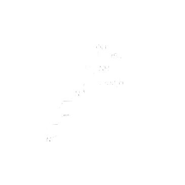 CC(C)(C)C(CO)NC(=O)C(CC(=O)O)c1ccn(-c2ccc(-c3ccncc3)cc2)c1